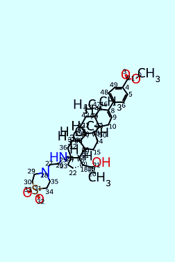 COC(=O)c1ccc(C2=CC[C@]3(C)[C@H]4CC[C@@H]5[C@H]6[C@H]([C@@H](C)O)CC[C@]6(NCCN6CCS(=O)(=O)CC6)CC[C@@]5(C)[C@]4(C)CC[C@H]3C2(C)C)cc1